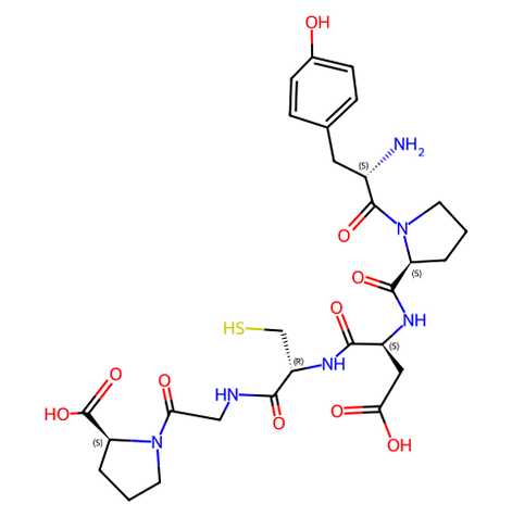 N[C@@H](Cc1ccc(O)cc1)C(=O)N1CCC[C@H]1C(=O)N[C@@H](CC(=O)O)C(=O)N[C@@H](CS)C(=O)NCC(=O)N1CCC[C@H]1C(=O)O